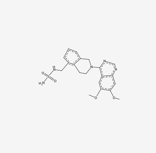 COc1cc2ncnc(N3CCc4c(CNS(N)(=O)=O)cccc4C3)c2cc1OC